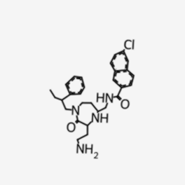 CCC(CN1CCC(CNC(=O)c2ccc3cc(Cl)ccc3c2)NC(CCN)C1=O)c1ccccc1